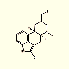 CN1CC(CI)C[C@H]2c3cccc4[nH]c(Cl)c(c34)C[C@@H]21